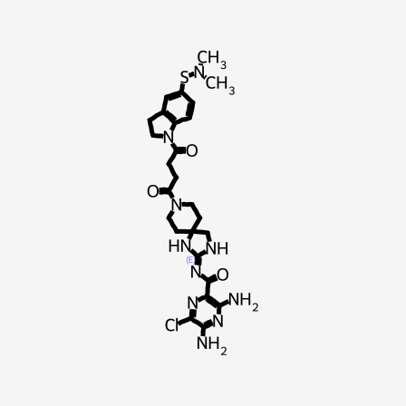 CN(C)Sc1ccc2c(c1)CCN2C(=O)CCC(=O)N1CCC2(CC1)CN/C(=N\C(=O)c1nc(Cl)c(N)nc1N)N2